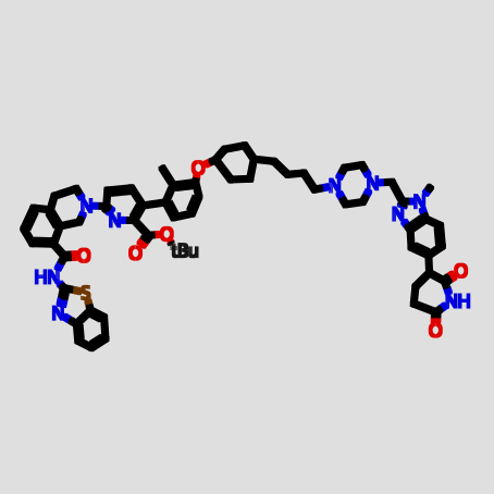 Cc1c(OC2CCC(CCCCN3CCN(Cc4nc5cc(C6CCC(=O)NC6=O)ccc5n4C)CC3)CC2)cccc1-c1ccc(N2CCc3cccc(C(=O)Nc4nc5ccccc5s4)c3C2)nc1C(=O)OC(C)(C)C